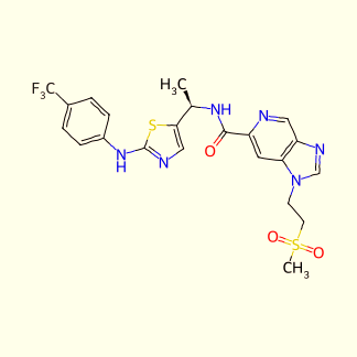 C[C@@H](NC(=O)c1cc2c(cn1)ncn2CCS(C)(=O)=O)c1cnc(Nc2ccc(C(F)(F)F)cc2)s1